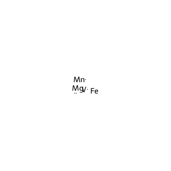 [Fe].[Mg].[Mn].[V]